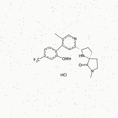 COc1cc(C(F)(F)F)ccc1-c1cc([C@@H]2CC[C@@]3(CCN(C)C3=O)N2)ncc1C.Cl